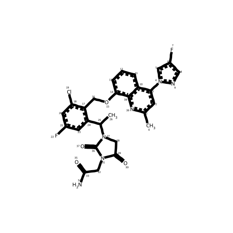 Cc1cc(-n2cc(F)cn2)c2cccc(OCc3c(Cl)cc(F)cc3C(C)N3CC(=O)N(CC(N)=O)C3=O)c2n1